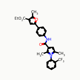 CCOC(=O)c1cc(-c2ccc(NC(=O)c3cc(C)n(-c4ccccc4C(F)(F)F)c3C)cc2)oc1C